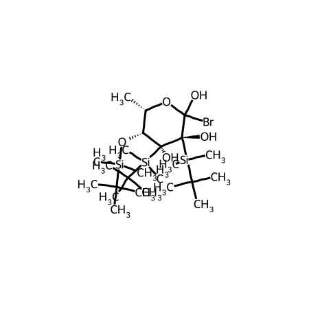 C[C@@H]1OC(O)(Br)[C@](O)([Si](C)(C)C(C)(C)C)[C@@](O)([Si](C)(C)C(C)(C)C)[C@@H]1O[Si](C)(C)C(C)(C)C